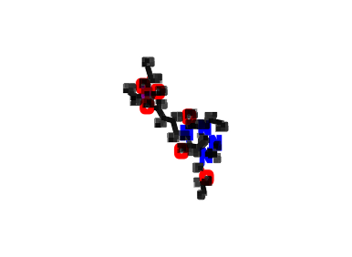 CCOCn1cnc2c1c(=O)n(CCCCOP(=O)(CC)OCC)c(=O)n2CC